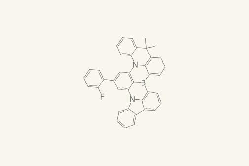 CC1(C)C2=C3C(=CCC2)B2c4c(cc(-c5ccccc5F)cc4-n4c5ccccc5c5cccc2c54)N3c2ccccc21